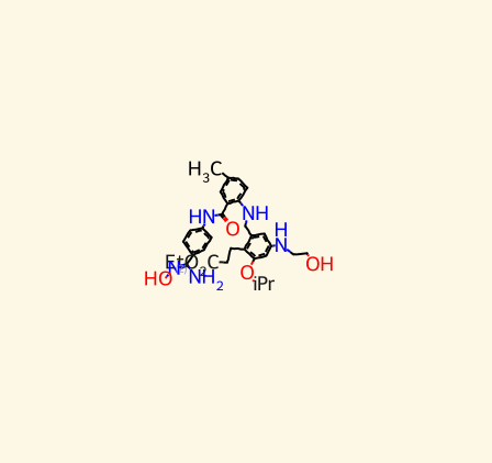 CCOC(=O)CCc1c(CNc2ccc(C)cc2C(=O)Nc2ccc(/C(N)=N/O)cc2)cc(NCCO)cc1OC(C)C